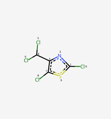 Clc1nc(C(Cl)Cl)c(Cl)s1